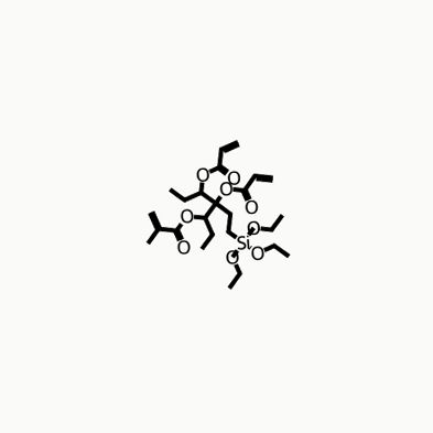 C=CC(=O)OC(CC)C(CC[Si](OCC)(OCC)OCC)(OC(=O)C=C)C(CC)OC(=O)C(=C)C